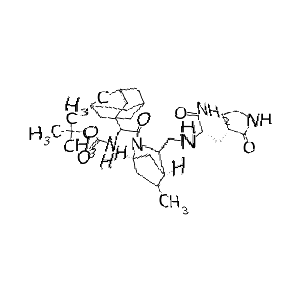 CC1C[C@@H]2C[C@H]1C(CN[C@@H](C[C@@H]1CCNC1=O)C(N)=O)N2C(=O)[C@@H](NC(=O)OC(C)(C)C)C12CC3CC(CC(C3)C1)C2